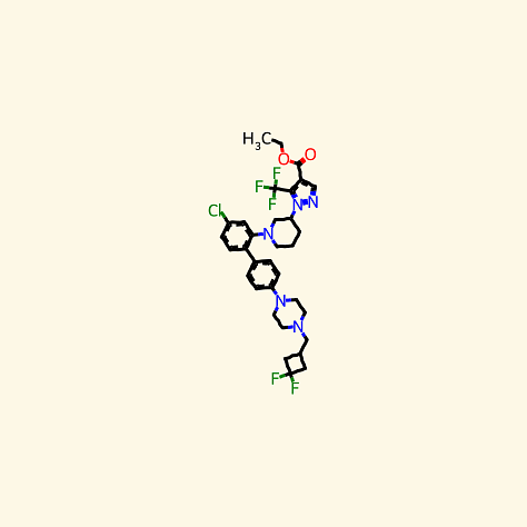 CCOC(=O)c1cnn(C2CCCN(c3cc(Cl)ccc3-c3ccc(N4CCN(CC5CC(F)(F)C5)CC4)cc3)C2)c1C(F)(F)F